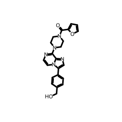 O=C(c1ccco1)N1CCN(c2nccn3c(-c4ccc(CO)cc4)cnc23)CC1